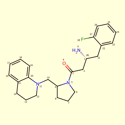 N[C@@H](CC(=O)N1CCCC1CN1CCCc2ccccc21)Cc1ccccc1F